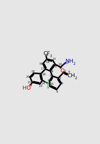 C=Cc1ccccc1-c1c(C(N)=O)cc(C(F)(F)F)cc1-c1ccc(O)cc1F